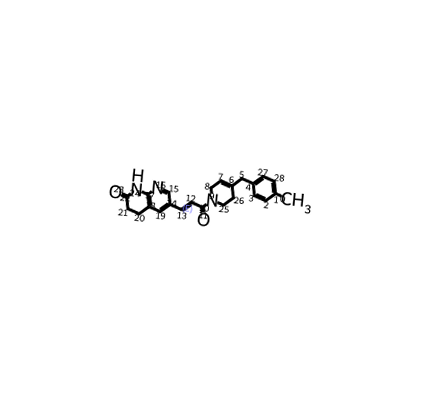 Cc1ccc(CC2=CCN(C(=O)/C=C/c3cnc4c(c3)CCC(=O)N4)CC2)cc1